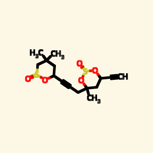 C#CC1CC(C)(CC#CC2CC(C)(C)CS(=O)O2)OS(=O)O1